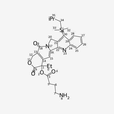 CCC1(OC(=O)CCCN)C(=O)OCc2c1cc1n(c2=O)Cc2c-1nc1ccccc1c2[Si](C)(C)CC(C)C